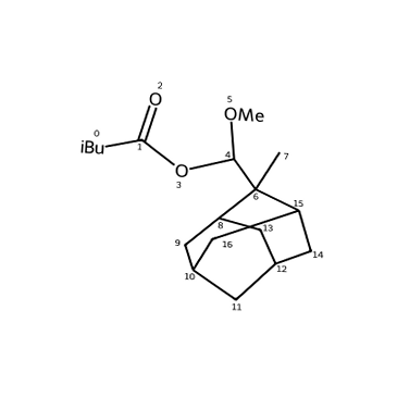 CCC(C)C(=O)OC(OC)C1(C)C2CC3CC(C2)CC1C3